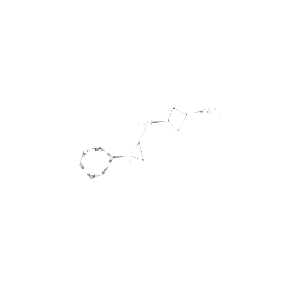 N[C@H]1C[C@@H](NC2C[C@H]2c2ccccc2)C1